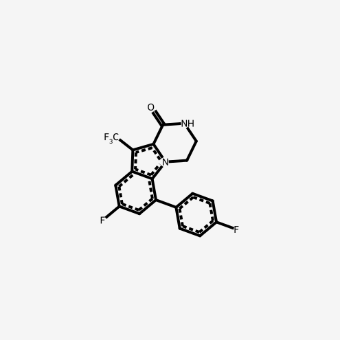 O=C1NCCn2c1c(C(F)(F)F)c1cc(F)cc(-c3ccc(F)cc3)c12